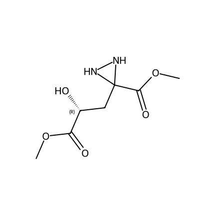 COC(=O)[C@H](O)CC1(C(=O)OC)NN1